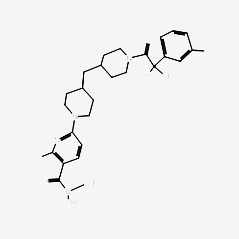 Cc1nc(N2CCC(CC3CCN(C(=O)C(O)(c4cccc(Cl)c4)C(F)(F)F)CC3)CC2)ccc1C(=O)N(C)C